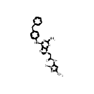 CCn1nc(C)cc1NC(=O)Cn1cnc2c(Nc3ccc(Cc4ccccc4)cc3)nc(N)nc21